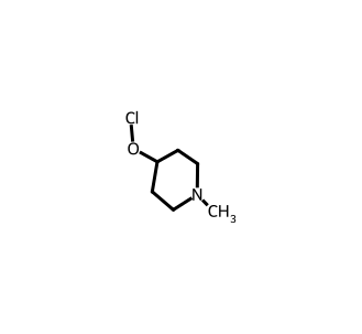 CN1CCC(OCl)CC1